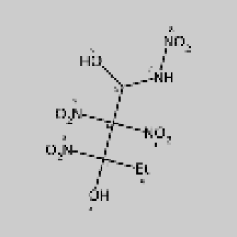 CCC(O)([N+](=O)[O-])C(C(O)N[N+](=O)[O-])([N+](=O)[O-])[N+](=O)[O-]